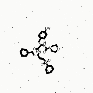 O=C(N[C@H](/C=C/S(=O)(=O)c1ccccc1)CCc1ccccc1)[C@H](Cc1ccc(O)cc1)NC(=O)N1CCOCC1